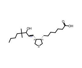 CCCCC(C)(C)C(O)/C=C/[C@H]1CSC[C@H]1CCCCCCC(=O)O